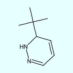 CC(C)(C)C1C=CC=NN1